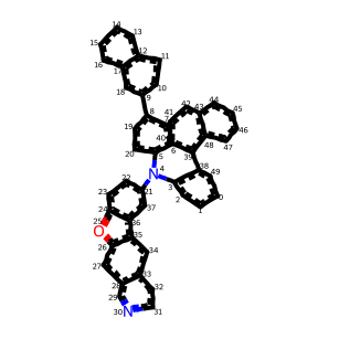 c1ccc(N(c2ccc(-c3ccc4ccccc4c3)cc2)c2ccc3oc4cc5cnccc5cc4c3c2)c(-c2cccc3ccccc23)c1